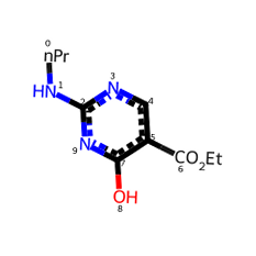 CCCNc1ncc(C(=O)OCC)c(O)n1